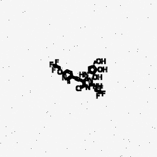 Cc1nc(OCC(F)(F)F)ccc1C#Cc1c(Cl)nc(NCC(F)(F)F)nc1N[C@@H]1C[C@H](CO)[C@@H](O)[C@H]1O